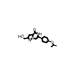 CC(C)Oc1ccc(-c2cn3nc(CO)cc3c(=O)[nH]2)cc1